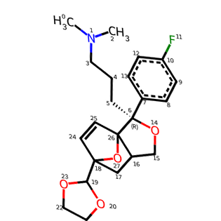 CN(C)CCC[C@]1(c2ccc(F)cc2)OCC2CC3(C4OCCO4)C=CC21O3